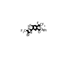 CC(C)OC(=O)c1cc(-c2nc(Br)c(C(F)(F)F)[nH]2)c(F)cc1C(F)(F)C(F)(F)F